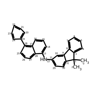 CC1(C)c2ccccc2-c2cc(Nc3cccc4c(-c5ccccc5)cccc34)ccc21